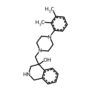 Cc1cccc(N2CCN(CC3(O)CNCc4ccccc43)CC2)c1C